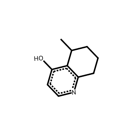 CC1CCCc2nccc(O)c21